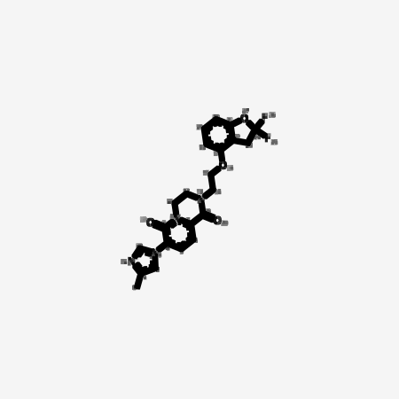 Cc1cn(-c2ccc3n(c2=O)CCN(CCOc2cccc4c2CC(F)(F)O4)C3=O)cn1